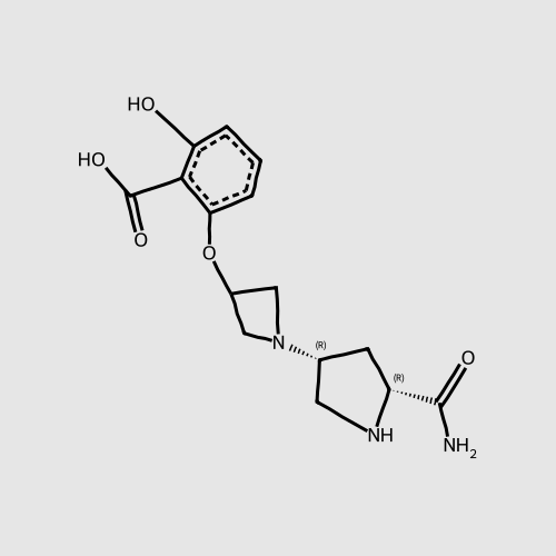 NC(=O)[C@H]1C[C@@H](N2CC(Oc3cccc(O)c3C(=O)O)C2)CN1